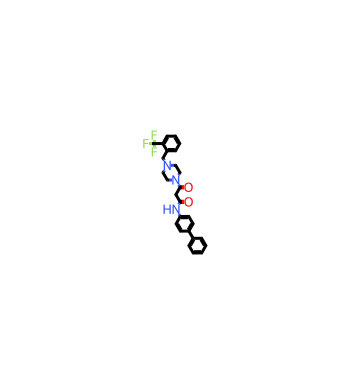 O=C(CC(=O)N1CCN(Cc2ccccc2C(F)(F)F)CC1)Nc1ccc(-c2ccccc2)cc1